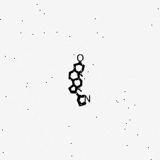 C[C@]12CCC(=O)CC1CCC1C2CC[C@]2(C)C(c3cccnc3)=CCC12